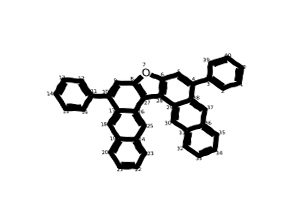 c1ccc(-c2cc3oc4cc(-c5ccccc5)c5cc6ccccc6cc5c4c3c3cc4ccccc4cc23)cc1